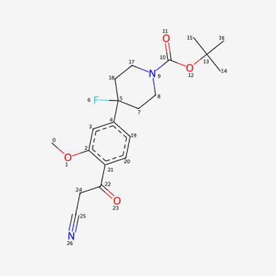 COc1cc(C2(F)CCN(C(=O)OC(C)(C)C)CC2)ccc1C(=O)CC#N